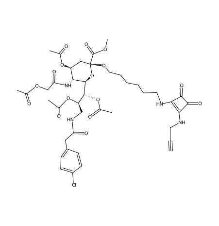 C#CCNc1c(NCCCCCCO[C@]2(C(=O)OC)C[C@H](OC(C)=O)[C@@H](NC(=O)COC(C)=O)[C@H]([C@H](OC(C)=O)[C@@H](CNC(=O)Cc3ccc(Cl)cc3)OC(C)=O)O2)c(=O)c1=O